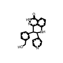 O=c1[nH]nc2c3c(cccc13)NC(c1ccncc1)C2c1cccc(CO)c1